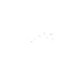 COC1=CC(OC)(OC)C(OC)C(C=CC(=O)c2ccccc2OC)=C1